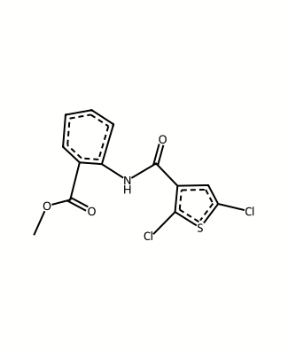 COC(=O)c1ccccc1NC(=O)c1cc(Cl)sc1Cl